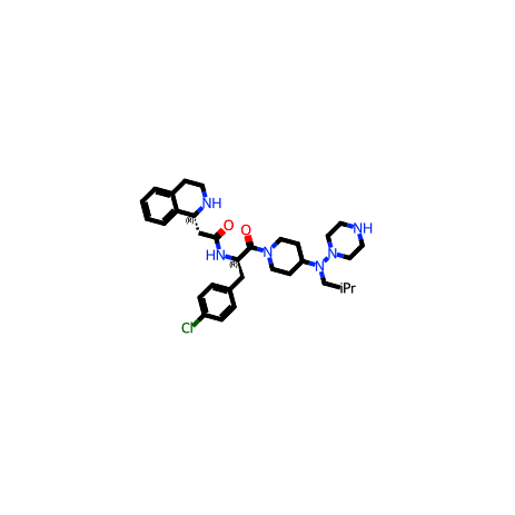 CC(C)CN(C1CCN(C(=O)[C@@H](Cc2ccc(Cl)cc2)NC(=O)C[C@H]2NCCc3ccccc32)CC1)N1CCNCC1